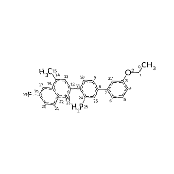 CCOc1cccc(-c2ccc(-c3cc(C)c4cc(F)ccc4n3)c(P)c2)c1